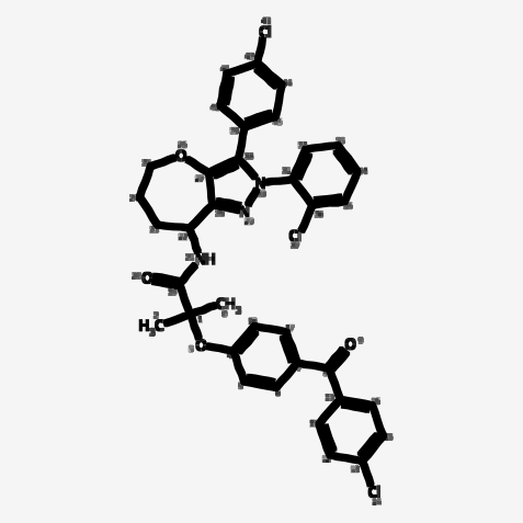 CC(C)(Oc1ccc(C(=O)c2ccc(Cl)cc2)cc1)C(=O)NC1CCCOc2c1nn(-c1ccccc1Cl)c2-c1ccc(Cl)cc1